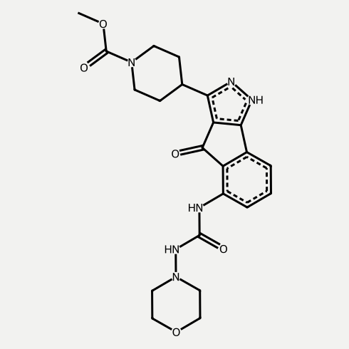 COC(=O)N1CCC(c2n[nH]c3c2C(=O)c2c(NC(=O)NN4CCOCC4)cccc2-3)CC1